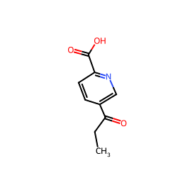 CCC(=O)c1ccc(C(=O)O)nc1